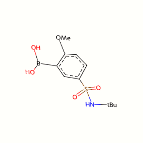 COc1ccc(S(=O)(=O)NC(C)(C)C)cc1B(O)O